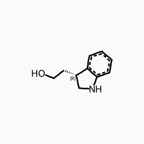 OCC[C@H]1CNc2ccccc21